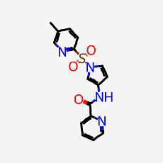 Cc1ccc(S(=O)(=O)n2ccc(NC(=O)c3ccccn3)c2)nc1